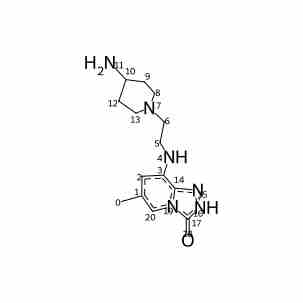 Cc1cc(NCCN2CCC(N)CC2)c2n[nH]c(=O)n2c1